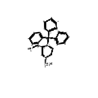 O=C(O)N1CCN(C(c2ccccc2)(c2ccccc2)c2ccccc2)[C@H](CO)C1